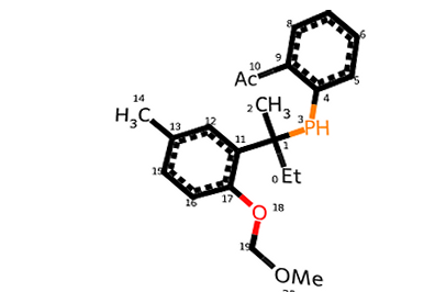 CCC(C)(Pc1ccccc1C(C)=O)c1cc(C)ccc1OCOC